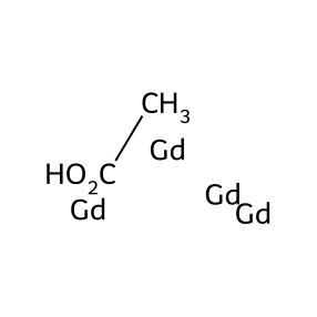 CC(=O)O.[Gd].[Gd].[Gd].[Gd]